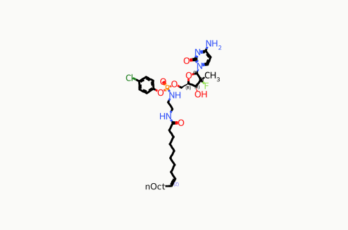 CCCCCCCC/C=C\CCCCCCCC(=O)NCCNP(=O)(OC[C@H]1O[C@@H](n2ccc(N)nc2=O)[C@](C)(F)[C@@H]1O)Oc1ccc(Cl)cc1